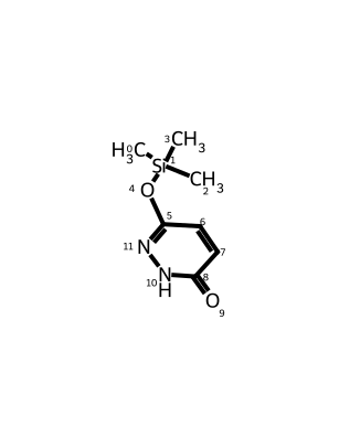 C[Si](C)(C)Oc1ccc(=O)[nH]n1